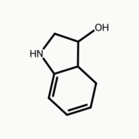 OC1CNC2=CC=CCC21